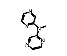 CN(c1cnccn1)c1cnccn1